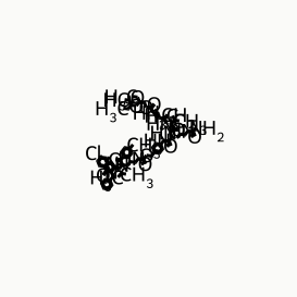 C=C(CCNC(=O)OCC(OC)OC(CC)CO)N[C@@H](C(=O)N[C@H](CCCNC(N)=O)C(=O)Nc1ccc(COC(=O)NCCCN(C(=O)c2ccc(C)cc2)[C@@H](c2nc3cc(Cl)ccc3c(=O)n2Cc2ccccc2)C(C)C)cc1)C(C)C